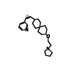 C(=C/C1CCC2(CC1)CCC(OCCN1CCCC1)CC2)/c1cccnc1